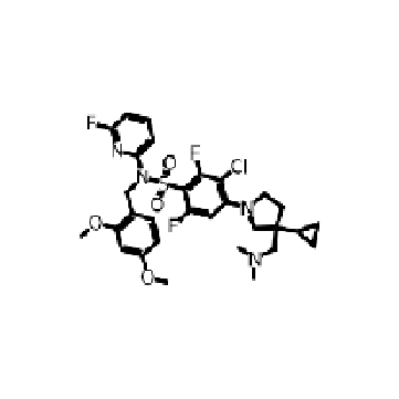 COc1ccc(CN(c2cccc(F)n2)S(=O)(=O)c2c(F)cc(N3CCC(CN(C)C)(C4CC4)C3)c(Cl)c2F)c(OC)c1